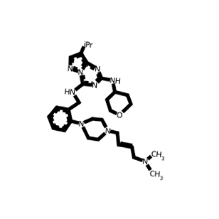 CC(C)c1cnn2c(NCc3ccccc3N3CCN(CC=CCN(C)C)CC3)nc(NC3CCOCC3)nc12